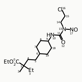 CCOC(=O)C(C)(CC)CCC1CCC(NC(=O)N(CCCl)N=O)CC1